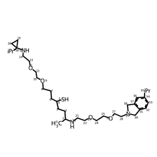 CC(CCC(S)CCCOCCOCCNC1(C(C)C)CC1)NCCOCCOCCN1Cc2ccc(C(C)C)cc2C1